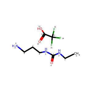 CCNC(=O)NCCCN.O=C(O)C(F)(F)F